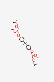 C=C(C)COCC(COc1ccc(C(C)(C)c2ccc(OCC(COCC(=C)C)OCC)cc2)cc1)OCC